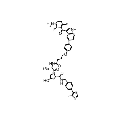 Cc1ncsc1-c1ccc(CNC(=O)[C@@H]2C[C@@H](O)CN2C(=O)[C@@H](NC(=O)CCCOc2ccc(-c3cnc4[nH]cc(C(=O)c5c(F)ccc(N)c5F)c4c3)cc2)C(C)(C)C)cc1